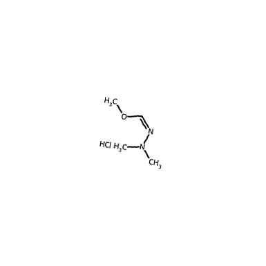 CO/C=N\N(C)C.Cl